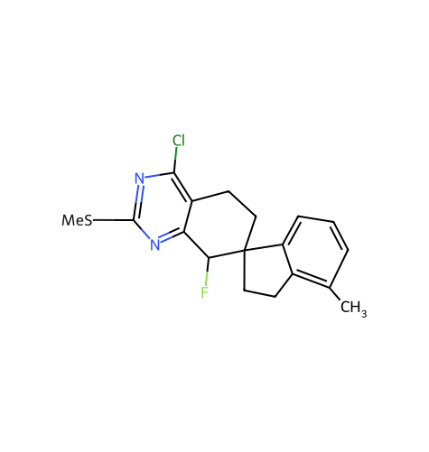 CSc1nc(Cl)c2c(n1)C(F)C1(CCc3c(C)cccc31)CC2